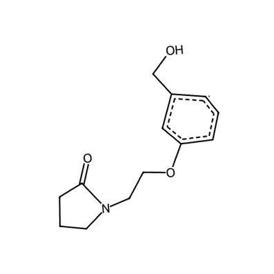 O=C1CCCN1CCOc1cc[c]c(CO)c1